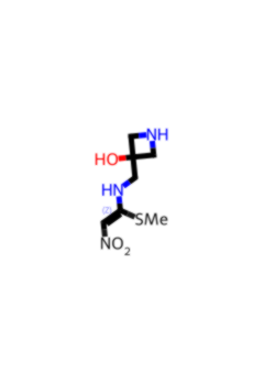 CS/C(=C\[N+](=O)[O-])NCC1(O)CNC1